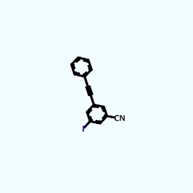 N#Cc1cc(I)cc(C#Cc2ccccc2)c1